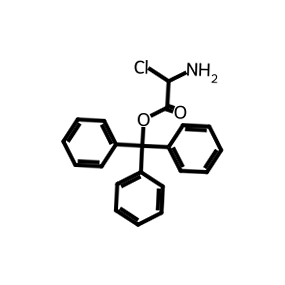 NC(Cl)C(=O)OC(c1ccccc1)(c1ccccc1)c1ccccc1